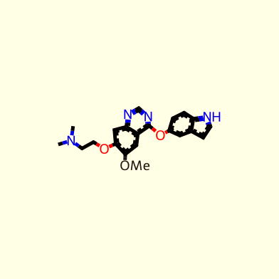 COc1cc2c(Oc3ccc4[nH]ccc4c3)ncnc2cc1OCCN(C)C